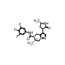 CC1CC(c2cnn3c2CN(C(=O)Nc2cc(F)c(F)c(F)c2)[C@@H](C)C3)C(=O)N1